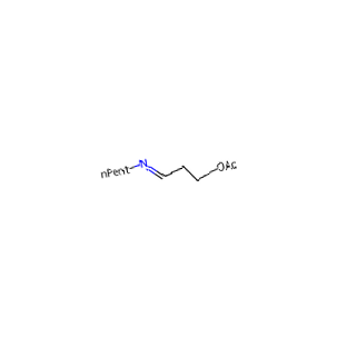 CCCCCN=CCCOC(C)=O